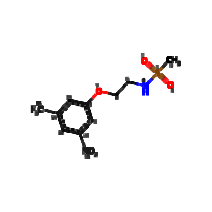 CS(=O)(=O)NCCOc1cc([N+](=O)[O-])cc(C(F)(F)F)c1